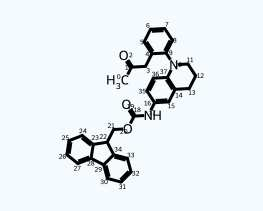 CC(=O)Cc1ccccc1N1CCCc2cc(NC(=O)OCC3c4ccccc4-c4ccccc43)ccc21